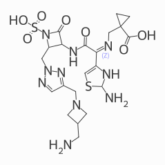 NCC1CN(Cc2cnn(CC3C(NC(=O)/C(=N\CC4(C(=O)O)CC4)C4=CSC(N)N4)C(=O)N3S(=O)(=O)O)n2)C1